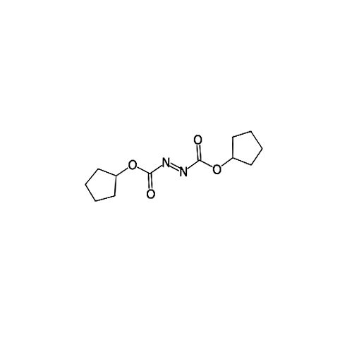 O=C(N=NC(=O)OC1CCCC1)OC1CCCC1